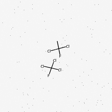 CC(F)(Cl)Cl.FC(Cl)(Cl)Cl